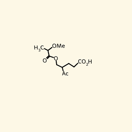 COC(C)C(=O)OCC(CCC(=O)O)C(C)=O